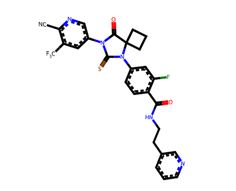 N#Cc1ncc(N2C(=O)C3(CCC3)N(c3ccc(C(=O)NCCc4cccnc4)c(F)c3)C2=S)cc1C(F)(F)F